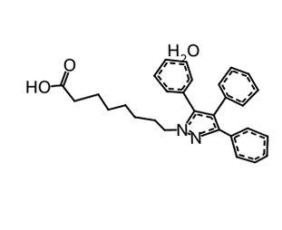 O.O=C(O)CCCCCCCn1nc(-c2ccccc2)c(-c2ccccc2)c1-c1ccccc1